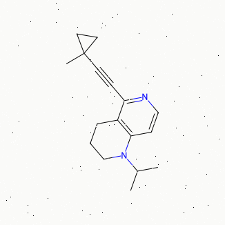 CC(C)N1CCCc2c1ccnc2C#CC1(C)CC1